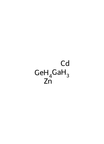 [Cd].[GaH3].[GeH4].[Zn]